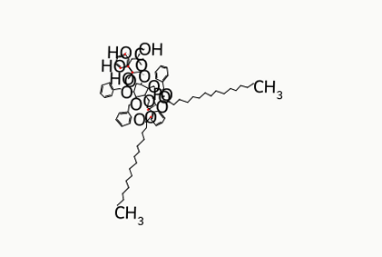 CCCCCCCCCCCCCCCC(=O)OC[C@@H](CP(=O)(Cc1ccccc1)O[C@H]1[C@@H](OCc2ccccc2)[C@H](OCc2ccccc2)[C@@H](OCc2ccccc2)[C@H](OCc2ccccc2)[C@H]1O[C@H]1O[C@H](CO)[C@@H](O)[C@H](O)[C@@H]1O)OC(=O)CCCCCCCCCCCCCCC